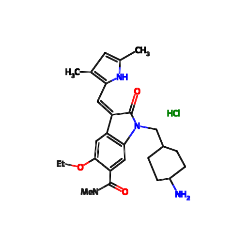 CCOc1cc2c(cc1C(=O)NC)N(CC1CCC(N)CC1)C(=O)/C2=C\c1[nH]c(C)cc1C.Cl